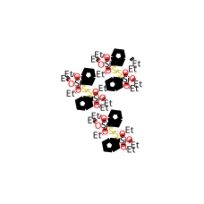 CCC.CCO[Si](OCC)(OCC)C1(SSC2([Si](OCC)(OCC)OCC)CC3CCC2C3)CC2CCC1C2.CCO[Si](OCC)(OCC)C1(SSC2([Si](OCC)(OCC)OCC)CC3CCC2C3)CC2CCC1C2.CCO[Si](OCC)(OCC)C1(SSC2([Si](OCC)(OCC)OCC)CC3CCC2C3)CC2CCC1C2